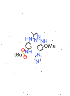 COc1cc(N2CCN(C)CC2)ccc1Nc1ncc(C)c(Nc2ccc(NS(=O)(=O)C(C)(C)C)cc2)n1